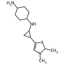 CC1SC(C2CC2NC2CCC(N)CC2)=CN1C